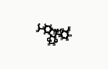 CC(C)c1ccc2c(c1)C1OCCOC1C(c1cccc(F)c1)N2